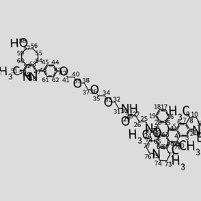 CC[N+]1=c2cc3c(cc2C(C)CC1(C)C)=C(c1ccccc1C(=O)N(C)CCCC(=O)NCCOCCOCCOCCOc1ccc(-c2nnc(C)c4c2CCCC(O)CC4)cc1)c1cc2c4c(c1C3(C)C)CCCN4CCC2